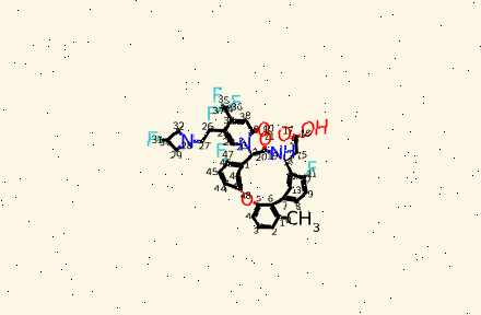 Cc1cccc2c1-c1ccc(F)c(c1)[C@H](CC(=O)O)NC(=O)[C@@H](n1cc(CCN3CC(F)C3)c(C(F)(F)F)cc1=O)c1cc(ccc1F)O2